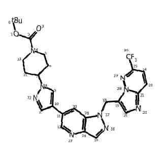 CC(C)(C)OC(=O)N1CCC(n2cc(-c3cnc4cnn(Cc5cnc6ccc(C(F)(F)F)nn56)c4c3)cn2)CC1